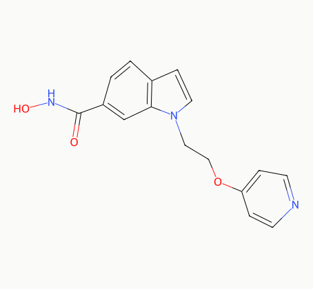 O=C(NO)c1ccc2ccn(CCOc3ccncc3)c2c1